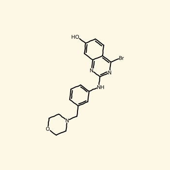 Oc1ccc2c(Br)nc(Nc3cccc(CN4CCOCC4)c3)nc2c1